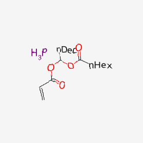 C=CC(=O)OC(CCCCCCCCCC)OC(=O)CCCCCC.P